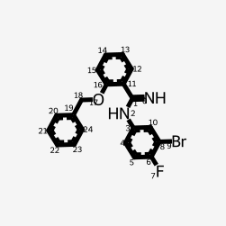 N=C(Nc1ccc(F)c(Br)c1)c1ccccc1OCc1ccccc1